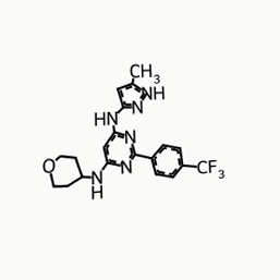 Cc1cc(Nc2cc(NC3CCOCC3)nc(-c3ccc(C(F)(F)F)cc3)n2)n[nH]1